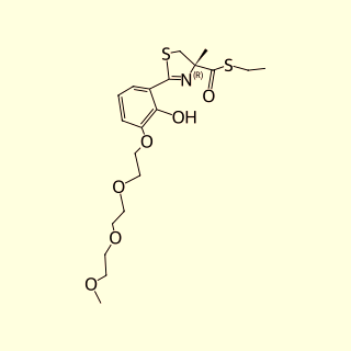 CCSC(=O)[C@@]1(C)CSC(c2cccc(OCCOCCOCCOC)c2O)=N1